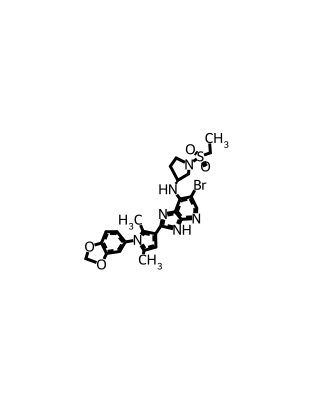 CCS(=O)(=O)N1CC[C@H](Nc2c(Br)cnc3[nH]c(-c4cc(C)n(-c5ccc6c(c5)OCO6)c4C)nc23)C1